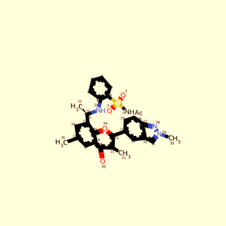 CC(=O)NS(=O)(=O)c1ccccc1N[C@@H](C)c1cc(C)cc2c(=O)c(C)c(-c3ccc4nn(C)cc4c3)oc12